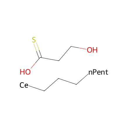 CCCCCCC[CH2][Ce].OCCC(O)=S